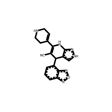 N#CC1=C(C2=CCNCC2)Nc2n[nH]cc2C1c1cccc2nonc12